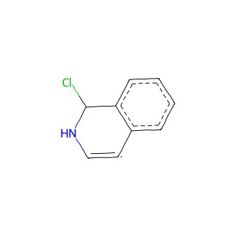 ClC1NC=[C]c2ccccc21